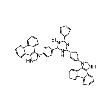 CCN1C(c2ccccc2)N=C(c2ccc(N3CNc4c3c3ccccc3c3ccccc43)cc2)NC1c1ccc(N2CNc3c2c2ccccc2c2ccccc32)cc1